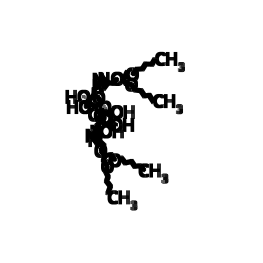 CCCCCCOCC(COCCCCCC)OCc1cn(CC2O[C@H](O[C@H]3OC(Cn4cc(COC(COCCCCCC)COCCCCCC)nn4)[C@@H](O)[C@H](O)C3O)C(O)C(O)[C@@H]2O)nn1